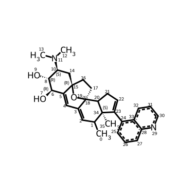 CC1C=C2C=C3[C@@H](O)[C@H](O)[C@@H](N(C)C)C[C@]34CC[C@]2(O4)C2CC=C(c3cccc4ncccc34)[C@@]12C